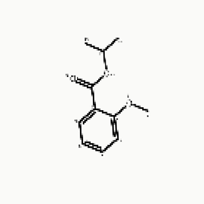 COc1ccccc1C(=O)OC(C)C